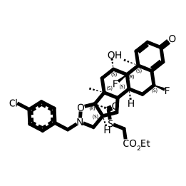 CCOC(=O)CSC(=O)[C@@]12ON(Cc3ccc(Cl)cc3)C[C@@H]1CC1[C@@H]3C[C@H](F)C4=CC(=O)C=C[C@]4(C)[C@@]3(F)[C@@H](O)C[C@@]12C